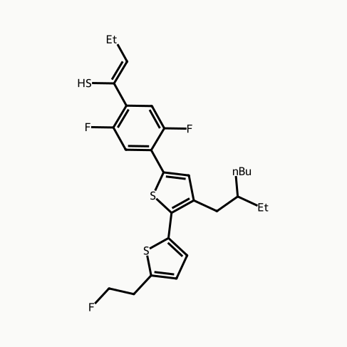 CC/C=C(\S)c1cc(F)c(-c2cc(CC(CC)CCCC)c(-c3ccc(CCF)s3)s2)cc1F